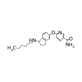 CCCCCCNC1CCc2cc(Oc3ccc(C(N)=O)cn3)ccc21